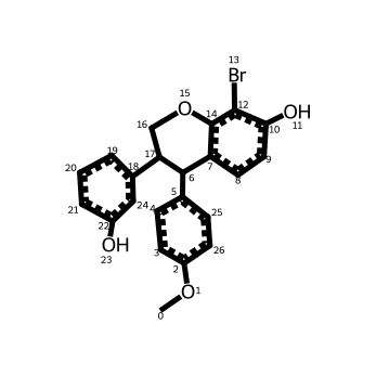 COc1ccc(C2c3ccc(O)c(Br)c3OCC2c2cccc(O)c2)cc1